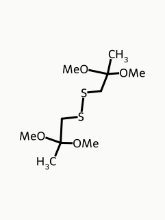 COC(C)(CSSCC(C)(OC)OC)OC